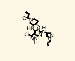 C=CC(=O)N1CC[C@@H](C)[C@@H](Nc2nc(Nc3cnn(CCC)c3)nc3[nH]nc(Cl)c23)C1